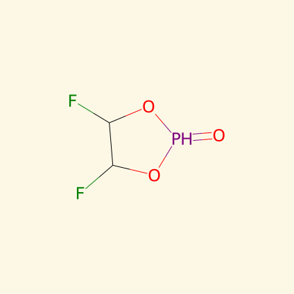 O=[PH]1OC(F)C(F)O1